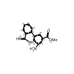 COC(=O)c1cc(N)cc(-c2cc[c]cc2C(=N)N)c1